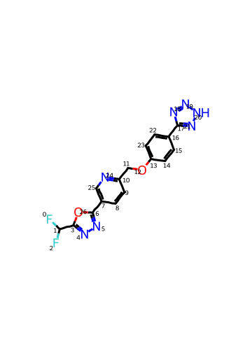 FC(F)c1nnc(-c2ccc(COc3ccc(-c4nn[nH]n4)cc3)nc2)o1